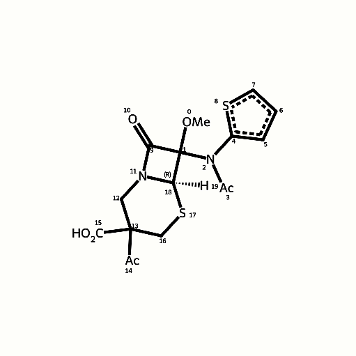 COC1(N(C(C)=O)c2cccs2)C(=O)N2CC(C(C)=O)(C(=O)O)CS[C@@H]21